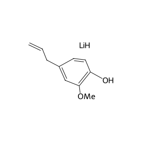 C=CCc1ccc(O)c(OC)c1.[LiH]